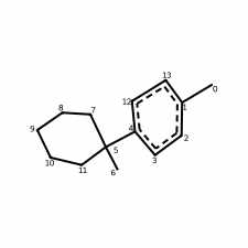 Cc1ccc(C2(C)CCCCC2)cc1